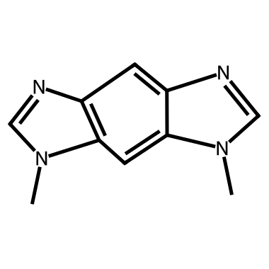 Cn1cnc2cc3ncn(C)c3cc21